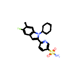 Cc1cc2c(cc1F)cc(-c1ccc(S(N)(=O)=O)cn1)n2C1CCCCC1